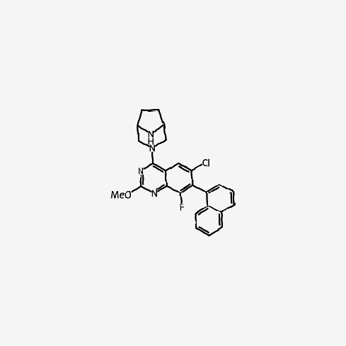 COc1nc(N2CC3CCC(C2)N3)c2cc(Cl)c(-c3cccc4ccccc34)c(F)c2n1